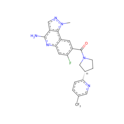 Cn1ncc2c(N)nc3cc(F)c(C(=O)N4CC[C@H](c5ccc(C(F)(F)F)cn5)C4)cc3c21